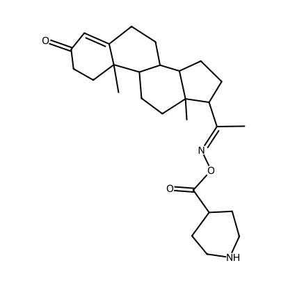 CC(=NOC(=O)C1CCNCC1)C1CCC2C3CCC4=CC(=O)CCC4(C)C3CCC12C